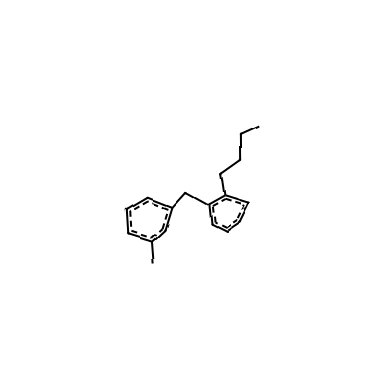 CCCCc1ccccc1Cc1cccc(C)c1